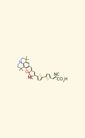 [C-]#[N+]/C(=C\c1ccc(-c2ccc(/C(C#N)=C/c3cc4cc5c6c(c4oc3=O)C(C)(C)CCN6CCC5(C)C)s2)s1)C(=O)O